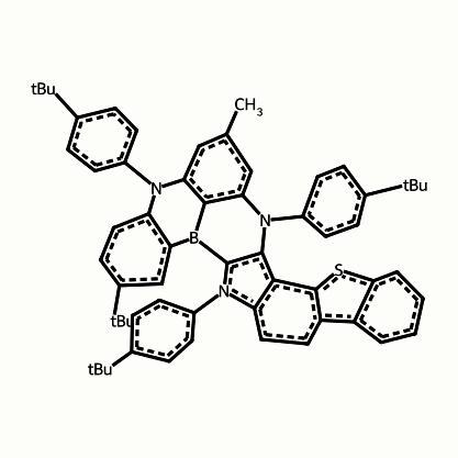 Cc1cc2c3c(c1)N(c1ccc(C(C)(C)C)cc1)c1c(n(-c4ccc(C(C)(C)C)cc4)c4ccc5c6ccccc6sc5c14)B3c1cc(C(C)(C)C)ccc1N2c1ccc(C(C)(C)C)cc1